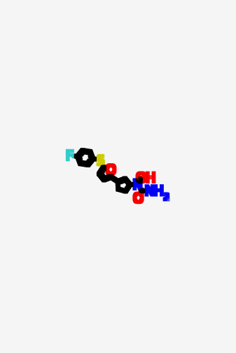 NC(=O)N(O)C1C=C(c2ccc(Sc3ccc(F)cc3)o2)CC1